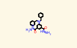 NNC(=O)c1cc(C(=O)NN)cc(N(Cc2ccccc2)Cc2ccccc2)c1